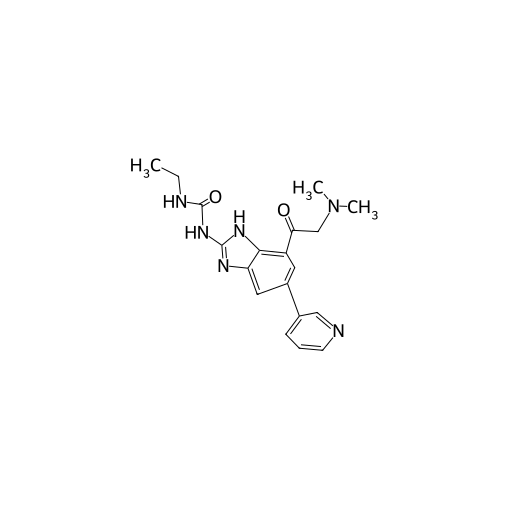 CCNC(=O)Nc1nc2cc(-c3cccnc3)cc(C(=O)CN(C)C)c2[nH]1